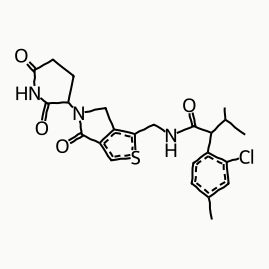 Cc1ccc(C(C(=O)NCc2scc3c2CN(C2CCC(=O)NC2=O)C3=O)C(C)C)c(Cl)c1